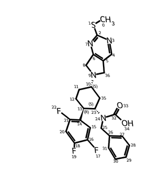 CSc1ncc2c(n1)CN([C@H]1CC[C@H](c3cc(F)c(F)cc3F)[C@@H](N(Cc3ccccc3)C(=O)O)C1)C2